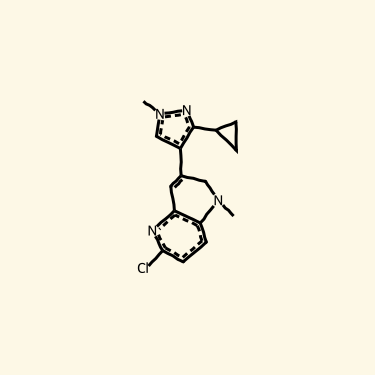 CN1CC(c2cn(C)nc2C2CC2)=Cc2nc(Cl)ccc21